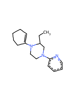 CCC1CN(c2ccccn2)CCN1C1=CCCCC1